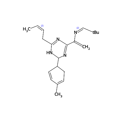 C=C(/N=C\C(C)(C)C)C1=NC(C2C=CC(C)=CC2)NC(C/C=C\C)=N1